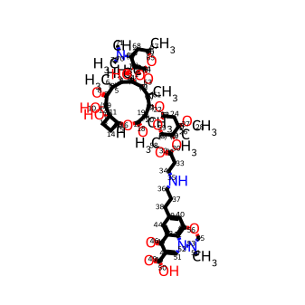 CO[C@]1(C)C[C@@H](C)C(=O)[C@@H](O)[C@@]2(O)CC[C@H]2OC(=O)[C@H](C)[C@@H](O[C@H]2C[C@@](C)(OC)[C@@H](OC(=O)CCNCCCc3cc4c5c(c3)c(=O)c(C(=O)O)cn5N(C)CO4)[C@H](C)O2)[C@H](C)[C@H]1O[C@@H]1O[C@H](C)C[C@H](N(C)C)[C@H]1O